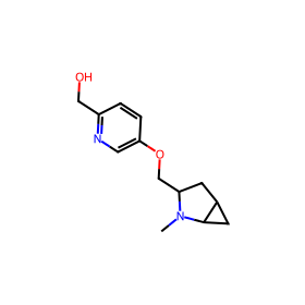 CN1C(COc2ccc(CO)nc2)CC2CC21